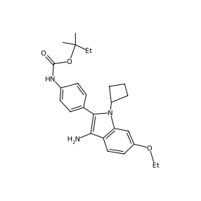 CCOc1ccc2c(N)c(-c3ccc(NC(=O)OC(C)(C)CC)cc3)n(C3CCC3)c2c1